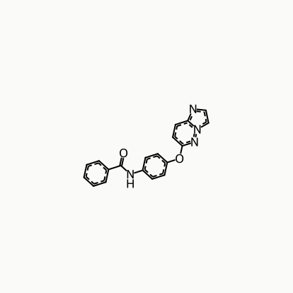 O=C(Nc1ccc(Oc2ccc3nccn3n2)cc1)c1ccccc1